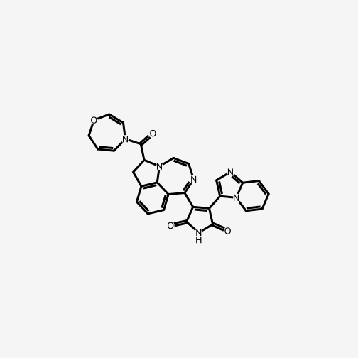 O=C1NC(=O)C(c2cnc3ccccn23)=C1C1=NC=CN2c3c(cccc31)CC2C(=O)N1C=CCOC=C1